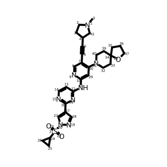 CN1CCC(C#Cc2cnc(Nc3ccnc(-c4cnn(S(=O)(=O)C5CC5)c4)n3)cc2N2CCC3(CCCO3)CC2)C1